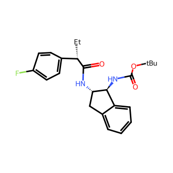 CC[C@H](C(=O)N[C@H]1Cc2ccccc2[C@@H]1NC(=O)OC(C)(C)C)c1ccc(F)cc1